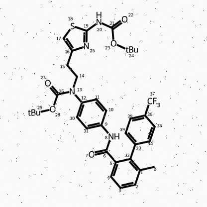 Cc1cccc(C(=O)Nc2ccc(N(CCc3csc(NC(=O)OC(C)(C)C)n3)C(=O)OC(C)(C)C)cc2)c1-c1ccc(C(F)(F)F)cc1